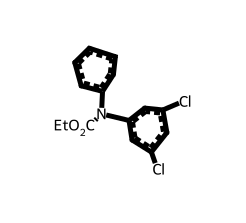 C[CH]OC(=O)N(c1ccccc1)c1cc(Cl)cc(Cl)c1